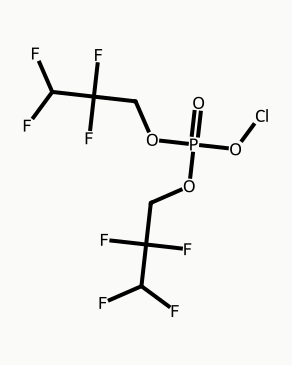 O=P(OCl)(OCC(F)(F)C(F)F)OCC(F)(F)C(F)F